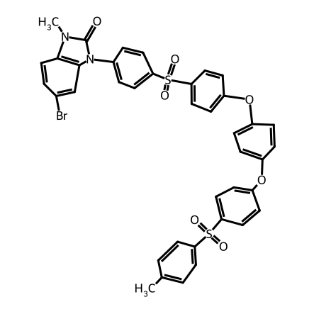 Cc1ccc(S(=O)(=O)c2ccc(Oc3ccc(Oc4ccc(S(=O)(=O)c5ccc(-n6c(=O)n(C)c7ccc(Br)cc76)cc5)cc4)cc3)cc2)cc1